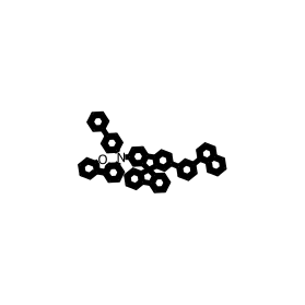 c1ccc(-c2ccc(N(c3ccc4c(c3)C3(c5ccccc5-c5ccccc53)c3cc(-c5cccc(-c6cccc7ccccc67)c5)ccc3-4)c3cccc4c3oc3ccccc34)cc2)cc1